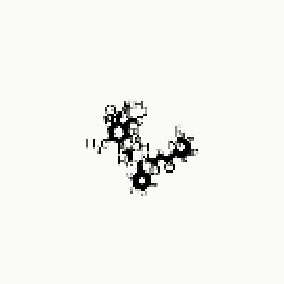 CC1C[C@@H]2C(=O)N(C)C(=O)[C@H]2C(=O)[C@H]1NC(=O)C[C@H](NC(=O)CC(=O)c1cccc(F)n1)c1ccccc1